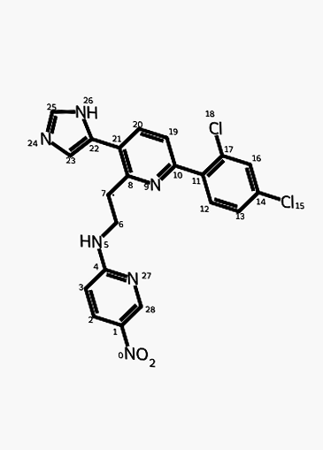 O=[N+]([O-])c1ccc(NC[CH]c2nc(-c3ccc(Cl)cc3Cl)ccc2-c2cnc[nH]2)nc1